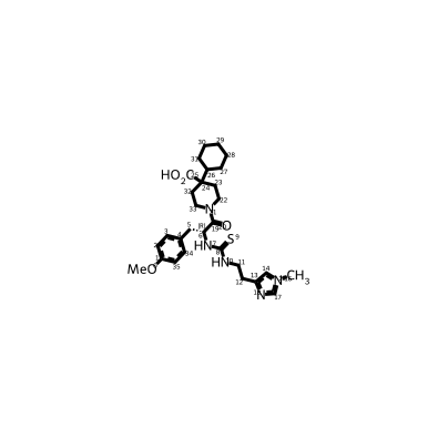 COc1ccc(C[C@@H](NC(=S)NCCc2cn(C)cn2)C(=O)N2CCC(C(=O)O)(C3CCCCC3)CC2)cc1